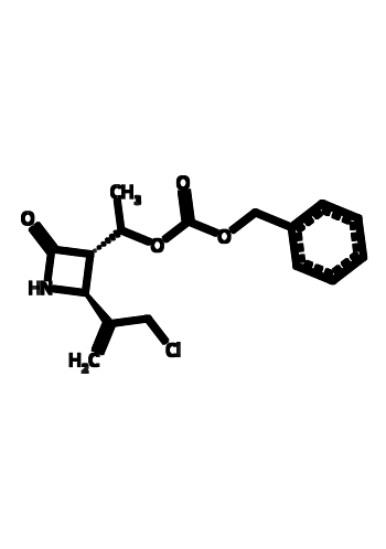 C=C(CCl)[C@H]1NC(=O)[C@@H]1C(C)OC(=O)OCc1ccccc1